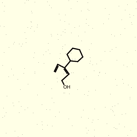 C=CC(=CCO)C1CCCCC1